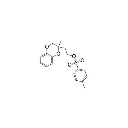 Cc1ccc(S(=O)(=O)OCCC2(C)COc3ccccc3O2)cc1